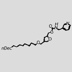 CCCCCCCCCCCCCCCCCCOCC1COC(COC(=O)NCc2cccnc2)C1